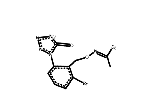 CCC(C)=NOCc1c(Br)cccc1-n1nn[nH]c1=O